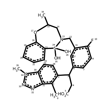 Cc1c(C(CC(=O)O)c2ccc(F)c(CN3CC(C)Oc4ccccc4S3(O)O)c2)ccc2c1nnn2C